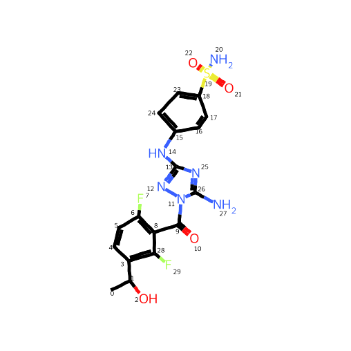 CC(O)c1ccc(F)c(C(=O)n2nc(Nc3ccc(S(N)(=O)=O)cc3)nc2N)c1F